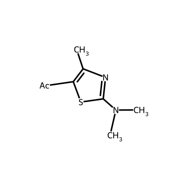 CC(=O)c1sc(N(C)C)nc1C